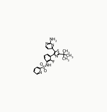 CC(C)(C)c1nc(-c2cccc(NS(=O)(=O)c3ccccn3)c2F)c(-c2ccnc(N)n2)s1